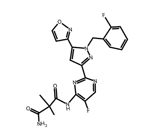 CC(C)(C(N)=O)C(=O)Nc1nc(-c2cc(-c3ccon3)n(Cc3ccccc3F)n2)ncc1F